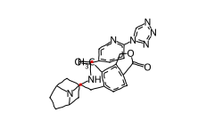 Cc1c(CCN2C3CCC2CC(NC(=O)c2ccc(-n4cnnn4)nc2)C3)ccc2c1COC2=O